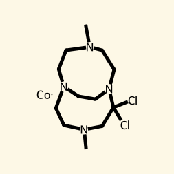 CN1CCN2CCN(C)CC(Cl)(Cl)N(CC1)CC2.[Co]